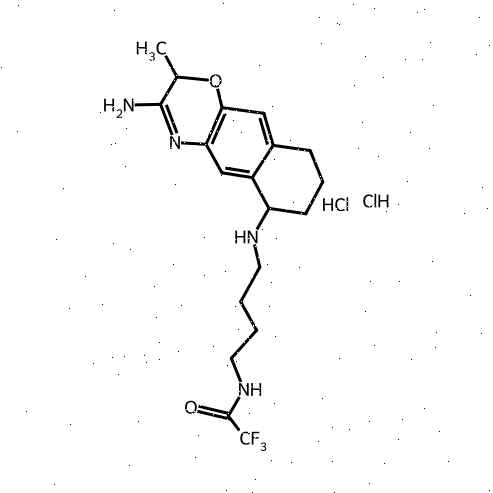 CC1Oc2cc3c(cc2N=C1N)C(NCCCCNC(=O)C(F)(F)F)CCC3.Cl.Cl